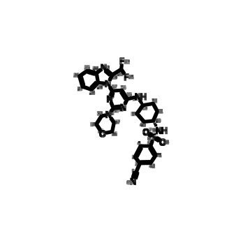 N#Cc1ccc(S(=O)(=O)N[C@H]2CC[C@H](Nc3cc(-n4c(C(F)F)nc5ccccc54)nc(N4CCOCC4)n3)CC2)cc1